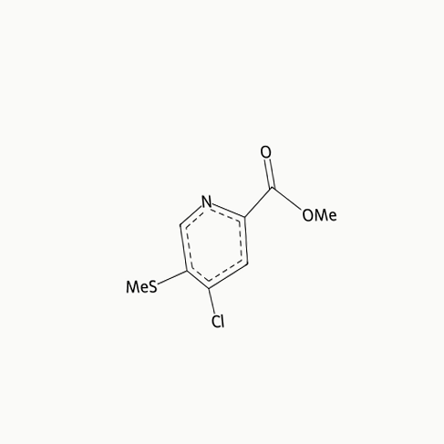 COC(=O)c1cc(Cl)c(SC)cn1